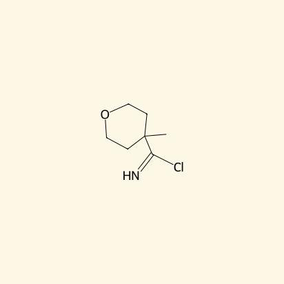 CC1(C(=N)Cl)CCOCC1